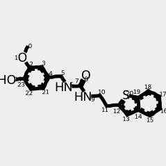 COc1cc(CNC(=O)NCCc2cc3ccccc3s2)ccc1O